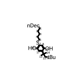 CCCCCCCCCCCCCCCSc1cc(O)c(C(C)(C)CC(C)(C)C)cc1O